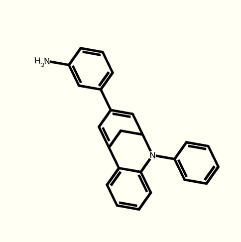 Nc1cccc(C2=CC3CC(=C2)c2ccccc2N3c2ccccc2)c1